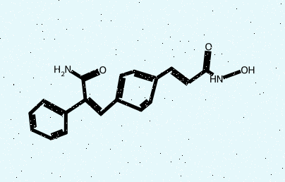 NC(=O)C(=Cc1ccc(/C=C/C(=O)NO)cc1)c1ccccc1